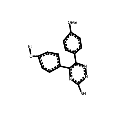 CCOc1ccc(-c2nc(S)nnc2-c2ccc(OC)cc2)cc1